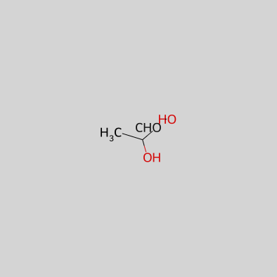 CC(O)C=O.[OH]